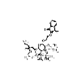 CCOP(=O)(/C=C/C1O[C@H](OCCON2C(=O)c3ccccc3C2=O)[C@H](O[Si](C)(C)C)C(O[Si](C)(C)C)[C@@H]1O[Si](C)(C)C)OCC